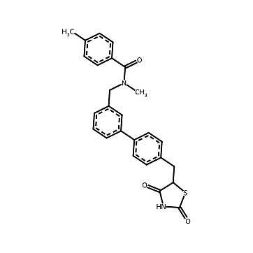 Cc1ccc(C(=O)N(C)Cc2cccc(-c3ccc(CC4SC(=O)NC4=O)cc3)c2)cc1